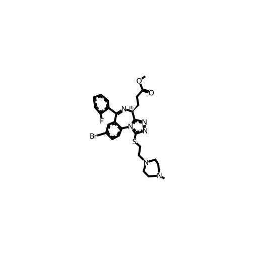 COC(=O)CC[C@@H]1N=C(c2ccccc2F)c2cc(Br)ccc2-n2c(SCCN3CCN(C)CC3)nnc21